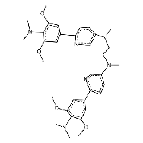 COc1cc(-c2ccc(N(C)CCN(C)c3ccc(-c4cc(OC)c(N(C)C)c(OC)c4)nc3)cn2)cc(OC)c1N(C)C